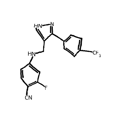 N#Cc1ccc(NCc2c[nH]nc2-c2ccc(C(F)(F)F)cc2)cc1F